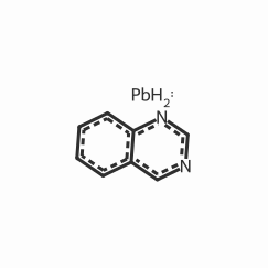 [PbH2].c1ccc2ncncc2c1